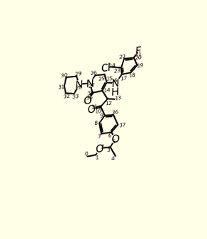 CCOC(C)Oc1ccc(C(=O)C(C)C2=C(Nc3ccc(F)cc3Cl)CCN(N3CCCCC3)C2=O)cc1